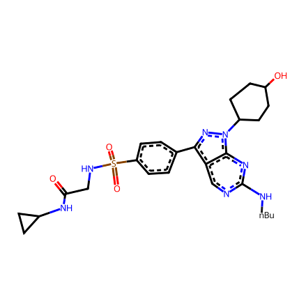 CCCCNc1ncc2c(-c3ccc(S(=O)(=O)NCC(=O)NC4CC4)cc3)nn(C3CCC(O)CC3)c2n1